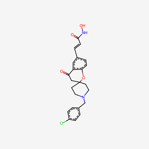 O=C(C=Cc1ccc2c(c1)C(=O)CC1(CCN(Cc3ccc(Cl)cc3)CC1)O2)NO